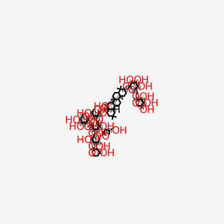 C[C@@H]1O[C@@H](O[C@@H]2[C@@H](O[C@@H]3O[C@@H](C)[C@H](O[C@@H]4OC[C@H](O)[C@H](O[C@H]5C[C@@H](O)CCO5)[C@H]4O)[C@@H](O[C@H]4C[C@@H](CO)CO4)[C@H]3O)[C@H](OC(=O)[C@]34CCC(C)(C)C[C@H]3C3=CCC5[C@@]6(C)CC[C@H](O[C@@H]7O[C@H](CO[C@@H]8OC[C@H](O)[C@H](O)[C@H]8O)[C@@H](O)[C@H](O)[C@H]7O)C(C)(C)C6CC[C@@]5(C)[C@]3(C)C[C@H]4O)OC[C@H]2O)[C@H](O)[C@H](O)[C@H]1O